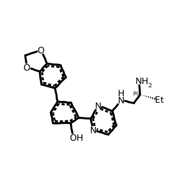 CC[C@@H](N)CNc1ccnc(-c2cc(-c3ccc4c(c3)OCO4)ccc2O)n1